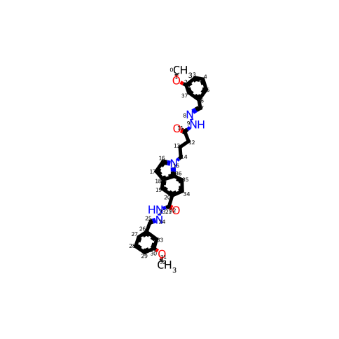 COc1cccc(/C=N/NC(=O)CCCn2ccc3cc(C(=O)N/N=C/c4cccc(OC)c4)ccc32)c1